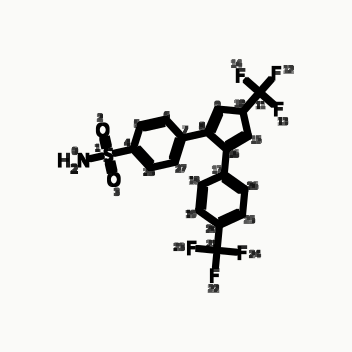 NS(=O)(=O)c1ccc(C2=CC(C(F)(F)F)C=C2c2ccc(C(F)(F)F)cc2)cc1